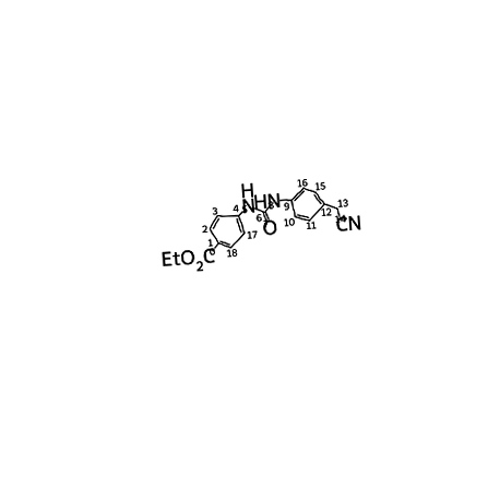 CCOC(=O)c1ccc(NC(=O)Nc2ccc(CC#N)cc2)cc1